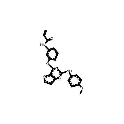 C=CC(=O)Nc1cccc(Oc2nc(Nc3ccc(SC)cc3)nc3ccsc23)c1